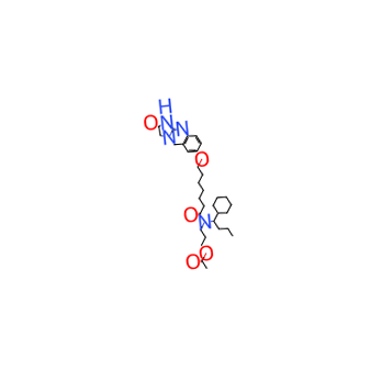 CCCC(C1CCCCC1)N(CCCOC(C)=O)C(=O)CCCCCCOc1ccc2c(c1)CN1CC(=O)NC1=N2